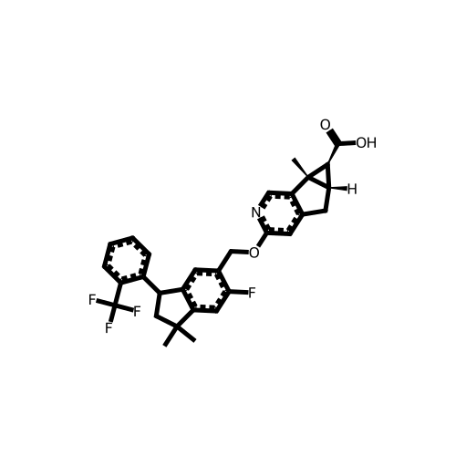 CC1(C)CC(c2ccccc2C(F)(F)F)c2cc(COc3cc4c(cn3)[C@@]3(C)[C@@H](C4)[C@@H]3C(=O)O)c(F)cc21